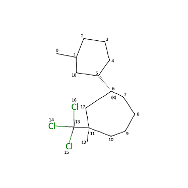 CC1CCCC([C@@H]2CCCCC(C)(C(Cl)(Cl)Cl)C2)C1